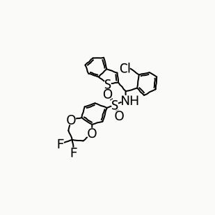 O=S(=O)(NC(c1cc2ccccc2s1)c1ccccc1Cl)c1ccc2c(c1)OCC(F)(F)CO2